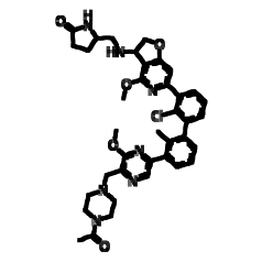 COc1nc(-c2cccc(-c3cccc(-c4cc5c(c(OC)n4)C(NCC4CCC(=O)N4)CO5)c3Cl)c2C)cnc1CN1CCN(C(C)=O)CC1